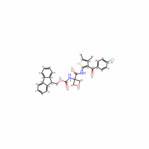 Cc1sc(NC(=O)C2(NC(=O)OCC3c4ccccc4-c4ccccc43)COC2)c(C(=O)c2ccc(Cl)cc2)c1C